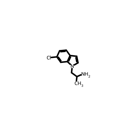 CC(N)Cn1ccc2ccc(Cl)cc21